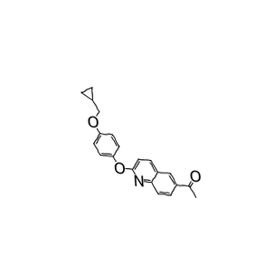 CC(=O)c1ccc2nc(Oc3ccc(OCC4CC4)cc3)ccc2c1